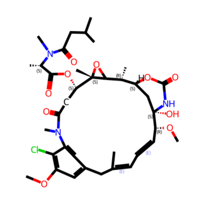 COc1cc2cc(c1Cl)N(C)C(=O)C[C@H](OC(=O)[C@H](C)N(C)C(=O)CC(C)C)[C@]1(C)OC1[C@H](C)[C@@H]1C[C@@](O)(NC(=O)O1)[C@H](OC)/C=C/C=C(\C)C2